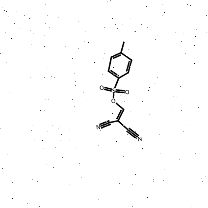 Cc1ccc(S(=O)(=O)OC=C(C#N)C#N)cc1